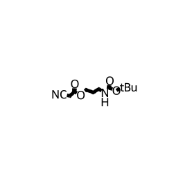 CC(C)(C)OC(=O)NCCCOC(=O)CC#N